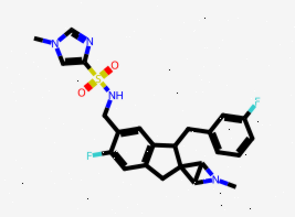 CN1C2C1C21Cc2cc(F)c(CNS(=O)(=O)c3cn(C)cn3)cc2C1Cc1cccc(F)c1